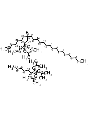 CCCCCCCCCCCCCCCCCC(F)(CCCCCCC)CC[Si](OCC)(OCC)OCC.CCCCCC[Si](OC(C)C)(OC(C)C)OC(C)C